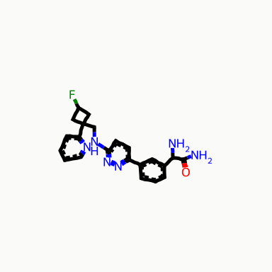 NC(=O)C(N)c1cccc(-c2ccc(NCC3(c4ccccn4)CC(F)C3)nn2)c1